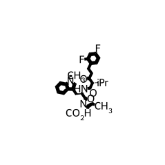 Cc1oc([C@@H](Cc2cn(C)c3ccccc23)NC(=O)[C@H](C(=O)CCc2ccc(F)cc2F)C(C)C)nc1C(=O)O